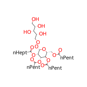 CCCCCCCC(=O)O[C@@H]1[C@H](OOC[C@@H](O)[C@H](O)[C@@H](O)CO)O[C@H](COC(=O)CCCCC)[C@@H](OC(=O)CCCCC)[C@@H]1OC(=O)CCCCC